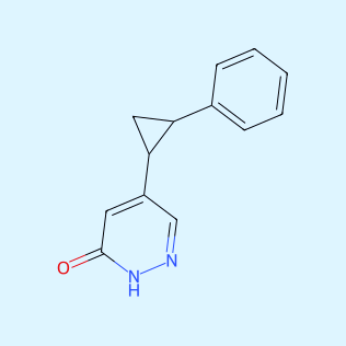 O=c1cc(C2CC2c2ccccc2)cn[nH]1